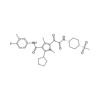 Cc1cc(NC(=O)c2c(C)c(C(=O)C(=O)N[C@H]3CC[C@@H](S(C)(=O)=O)CC3)n(C)c2C2CCCC2)ccc1F